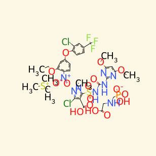 CCOc1cc(Oc2ccc(C(F)(F)F)cc2Cl)ccc1[N+](=O)[O-].COc1cc(OC)nc(NC(=O)NS(=O)(=O)c2c(C(=O)O)c(Cl)nn2C)n1.C[S+](C)C.O=C(O)CNCP(=O)([O-])O